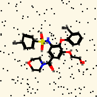 COc1ccccc1Oc1c(NS(=O)(=O)c2ccc(C(C)(C)C)cc2)cc(C(=O)N2CCOCC2)cc1OCCO